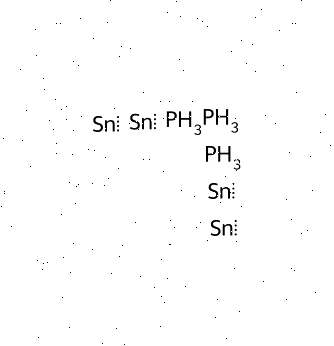 P.P.P.[Sn].[Sn].[Sn].[Sn]